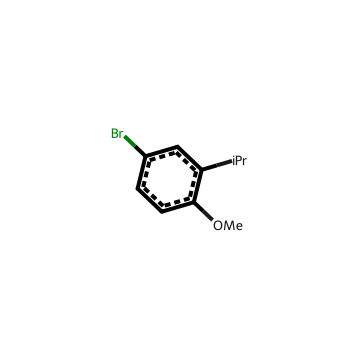 COc1ccc(Br)cc1C(C)C